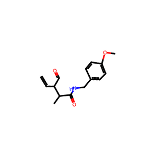 C=CC(C=O)C(C)C(=O)NCc1ccc(OC)cc1